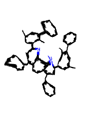 Cc1cc(-c2ccccc2)c(C)c(-c2cc(-c3ccccc3)c3ccc4c(-c5ccccc5)cc(-c5cc(C)cc(-c6ccccc6)c5C)nc4c3n2)c1